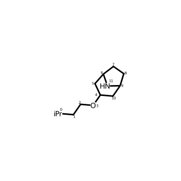 CC(C)CCOC1CC2CCC(C1)N2